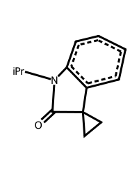 CC(C)N1C(=O)C2(CC2)c2ccccc21